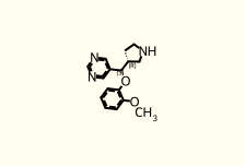 COc1ccccc1O[C@H](c1cncnc1)[C@@H]1CCNC1